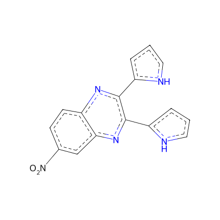 O=[N+]([O-])c1ccc2nc(-c3ccc[nH]3)c(-c3ccc[nH]3)nc2c1